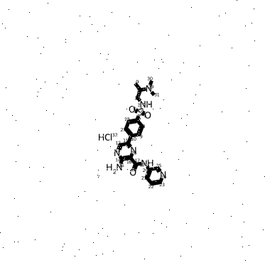 CC(CNS(=O)(=O)c1ccc(-c2cnc(N)c(C(=O)Nc3cccnc3)n2)cc1)N(C)C.Cl